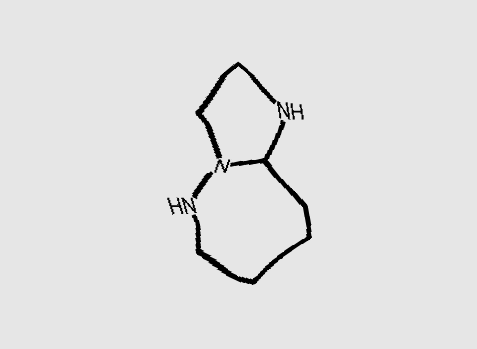 C1CCC2NCCN2NC1